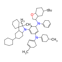 CC1=CC=C(N(C2=CC(N(C3=CC=CCC3)C3COC4CCC(C(C)(C)C)CC43)CC(N3C4CCC(C5CCCCC5)CC4C4(CCCCC4)C3(C)C)=C2)C2=CCC(C)CC2)CC1